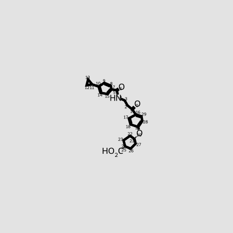 O=C(CCNC(=O)c1ccc(C2CC2)cc1)c1ccc(O[C@H]2CC[C@@H](C(=O)O)CC2)cc1